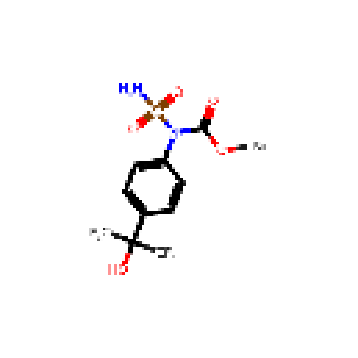 CC(C)(C)OC(=O)N(c1ccc(C(O)(C(F)(F)F)C(F)(F)F)cc1)S(N)(=O)=O